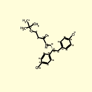 CC(C)(C)OCCC(=O)NC[C@H](Cc1ccc(Cl)cc1)c1ccc(Cl)cc1